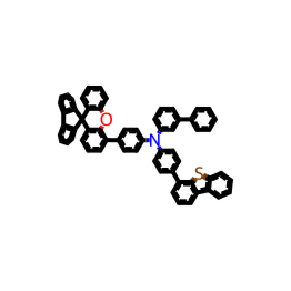 c1ccc(-c2cccc(N(c3ccc(-c4cccc5c4Oc4ccccc4C54c5ccccc5-c5ccccc54)cc3)c3ccc(-c4cccc5c4sc4ccccc45)cc3)c2)cc1